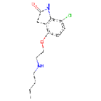 CCCCNCCOc1ccc(Cl)c2c1CC(=O)N2